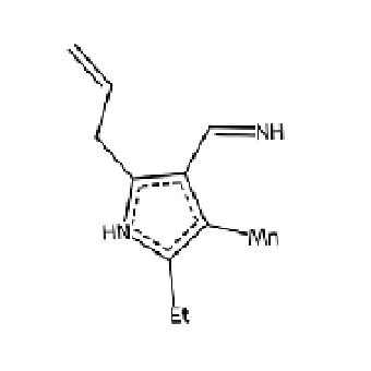 C=CCc1[nH]c(CC)[c]([Mn])c1C=N